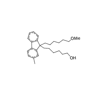 COCCCCCCC1(CCCCCCO)c2ccccc2-c2ccc(C)cc21